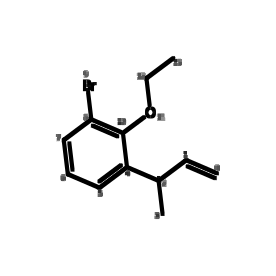 C=C[C](C)c1cccc(Br)c1OCC